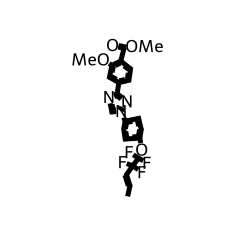 C/C=C/C(F)(F)C(F)(F)Oc1ccc(-n2cnc(-c3ccc(C(=O)OC)c(OC)c3)n2)cc1